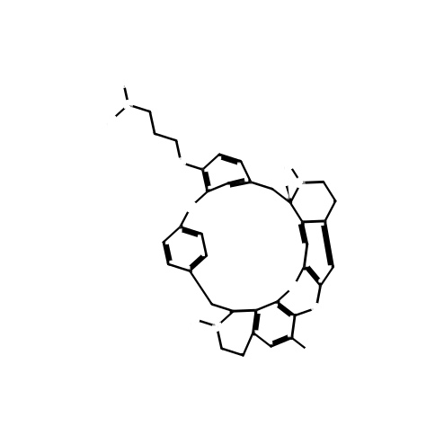 CN(C)CCCOc1ccc2cc1Oc1ccc(cc1)CC1c3c(cc(O)c4c3Oc3cc5c(cc3O4)CCN(C)[C@H]5C2)CCN1C